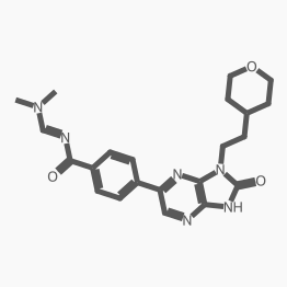 CN(C)/C=N/C(=O)c1ccc(-c2cnc3[nH]c(=O)n(CCC4CCOCC4)c3n2)cc1